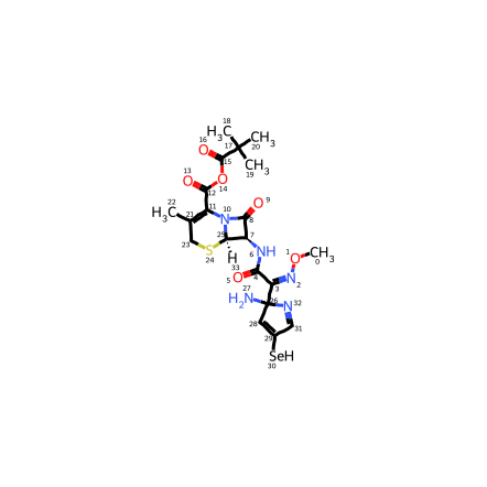 CON=C(C(=O)N[C@@H]1C(=O)N2C(C(=O)OC(=O)C(C)(C)C)=C(C)CS[C@H]12)C1(N)C=C([SeH])C=N1